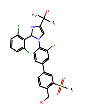 CC(C)(O)C1=CN(c2ccc(-c3ccc(CO)c(S(C)(=O)=O)c3)cc2Cl)C(c2c(F)cccc2Cl)N1